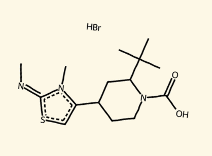 Br.CN=c1scc(C2CCN(C(=O)O)C(C(C)(C)C)C2)n1C